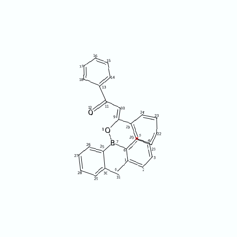 Cc1ccccc1B(O/C(=C\C(=O)c1ccccc1)c1ccccc1)c1ccccc1C